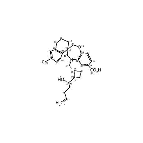 C=CCC[C@H](O)[C@@H]1CC[C@H]1CN1C[C@@]2(CCCc3cc(Cl)ccc32)COc2ccc(C(=O)O)cc21